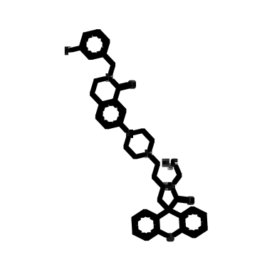 CCNC(=O)C1(CCCCN2CCN(c3ccc4c(c3)C(=O)N(Cc3cccc(F)c3)CC4)CC2)c2ccccc2Oc2ccccc21